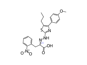 CCCc1sc(N/N=C(/Cc2ccccc2[N+](=O)[O-])C(=O)O)nc1-c1ccc(OC)cc1